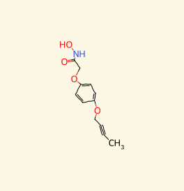 CC#CCOc1ccc(OCC(=O)NO)cc1